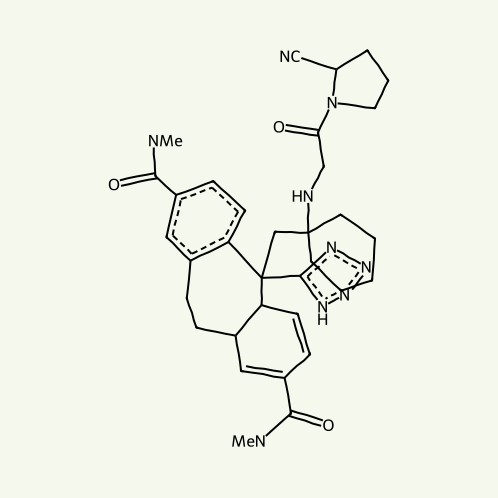 CNC(=O)C1=CC2CCc3cc(C(=O)NC)ccc3C(CC3(NCC(=O)N4CCCC4C#N)CCCCC3)(c3nnn[nH]3)C2C=C1